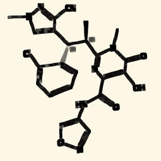 C[C@@H](c1nc(C(=O)Nc2cnoc2)c(O)c(=O)n1C)[C@H](c1ccccc1Cl)c1cn(C)nc1C#N